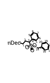 CCCCCCCCCCCCC(c1ccccc1)S(=O)(=O)OCc1ccccc1